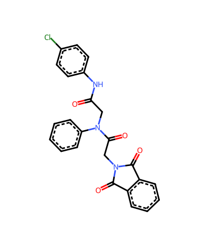 O=C(CN(C(=O)CN1C(=O)c2ccccc2C1=O)c1ccccc1)Nc1ccc(Cl)cc1